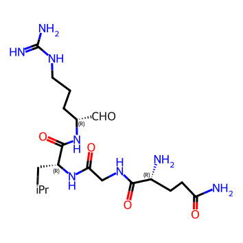 CC(C)C[C@@H](NC(=O)CNC(=O)[C@H](N)CCC(N)=O)C(=O)N[C@@H](C=O)CCCNC(=N)N